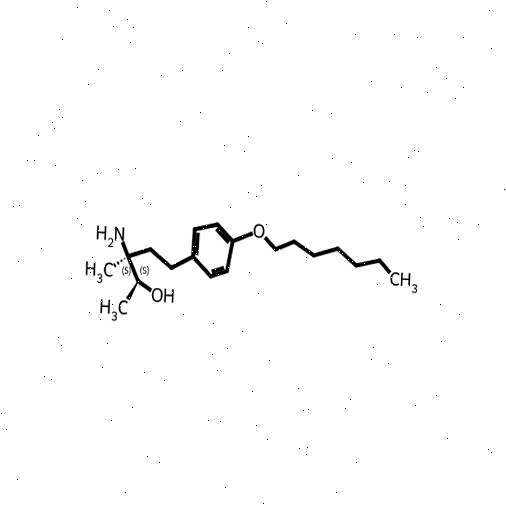 CCCCCCCOc1ccc(CC[C@](C)(N)[C@H](C)O)cc1